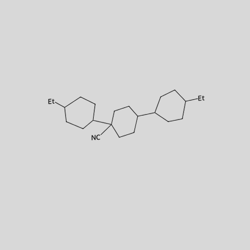 CCC1CCC(C2CCC(C#N)(C3CCC(CC)CC3)CC2)CC1